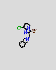 Clc1cccn2c(Br)c(CN3Cc4ccccc4C3)nc12